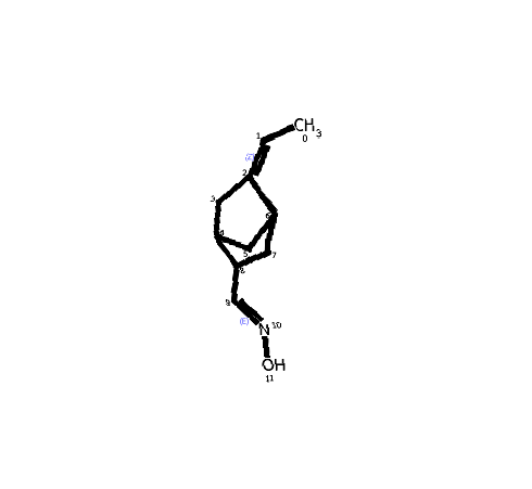 C/C=C1/CC2CC1CC2/C=N/O